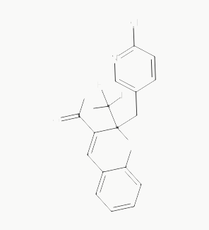 O=C(O)C1=Cc2ccccc2OC1(Cc1ccc(Cl)nc1)C(F)(F)F